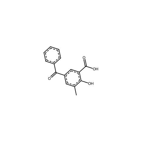 Cc1cc(C(=O)c2ccccc2)cc(C(=O)O)c1O